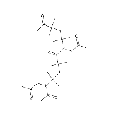 C=C(N(CC(C)=O)C(C)(C)CC(C)(C)C(C)=O)C(C)(C)CC(C)(C)N(CC(C)=O)C(C)=O